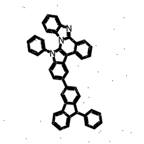 c1ccc(C2c3ccccc3-c3cc(-c4ccc5c(c4)c4c6ccccc6c6nc7ccccc7n6c4n5-c4ccccc4)ccc32)cc1